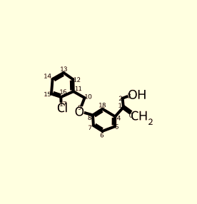 C=C(CO)c1cccc(OCc2ccccc2Cl)c1